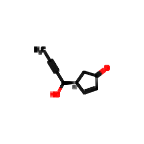 CC#CC(O)[C@@H]1C=CC(=O)C1